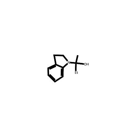 CCC(C)(O)N1CCc2ccccc21